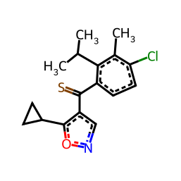 Cc1c(Cl)ccc(C(=S)c2cnoc2C2CC2)c1C(C)C